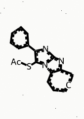 CC(=O)Sc1c(-c2ccccc2)nc2nc3cccccc3n12